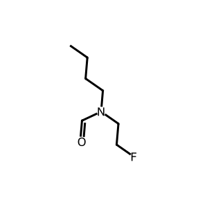 CCCCN(C=O)CCF